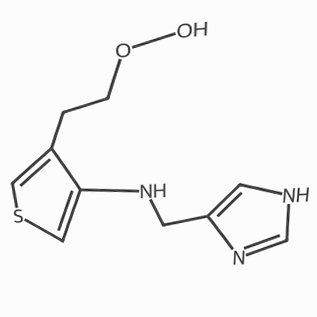 OOCCc1cscc1NCc1c[nH]cn1